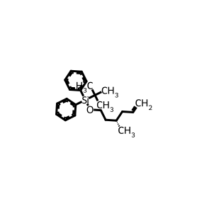 C=CC[C@H](C)CCO[Si](c1ccccc1)(c1ccccc1)C(C)(C)C